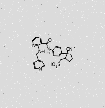 N#CC1(c2ccc(NC(=O)c3cccnc3NCc3ccncc3)cc2)CCCC1CS(=O)(=O)O